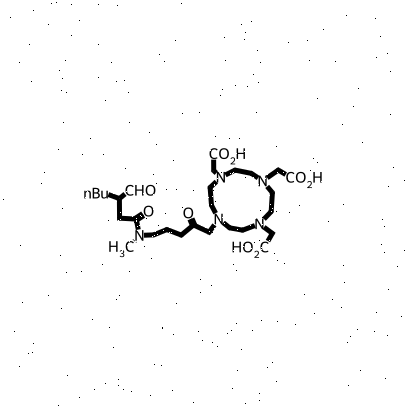 CCCCC(C=O)CC(=O)N(C)CCCC(=O)CN1CCN(CC(=O)O)CCN(CC(=O)O)CCN(CC(=O)O)CC1